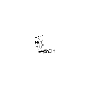 Cl.Cl.Cl.Cl.[CH3][Sn]